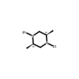 CCN1C[C@@H](C)N(C(C)C)C[C@H]1C